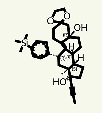 CC#C[C@]1(O)CC[C@H]2[C@@H]3CC[C@@]4(O)CC5(CCC4=C3[C@@H](c3ccc([Si](C)(C)C)cc3)C[C@@]21C)OCCO5